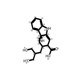 CCC(CO)CC1C(C(=O)O)C=C2Nc3ccccc3C23CCNC13